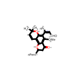 CCCCCC1CC(=O)c2c(c3c(c(/C(=C\C=O)CCC)c2OC)OC(C)(C)C=C3)O1